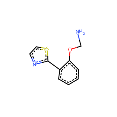 NCOc1ccccc1-c1nccs1